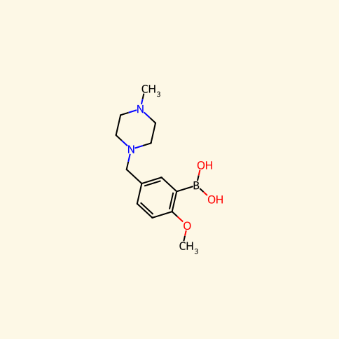 COc1ccc(CN2CCN(C)CC2)cc1B(O)O